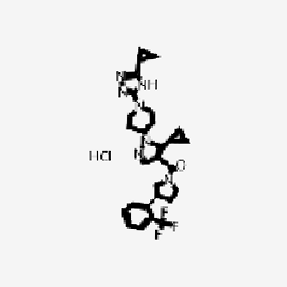 Cl.O=C(c1cnn(C2CCN(c3nnc(C4CC4)[nH]3)CC2)c1C1CC1)N1CC[C@@H](c2ccccc2C(F)(F)F)C1